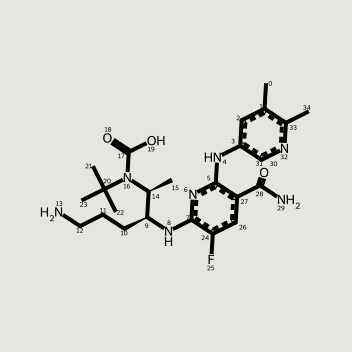 Cc1cc(Nc2nc(N[C@@H](CCCN)[C@H](C)N(C(=O)O)C(C)(C)C)c(F)cc2C(N)=O)cnc1C